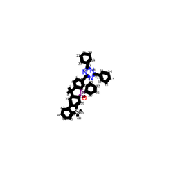 CC1(C)c2ccc(-c3nc(-c4ccccc4)nc(-c4ccccc4)n3)cc2P(=O)(c2ccccc2)c2cc3c(cc21)-c1ccccc1[Si]3(C)C